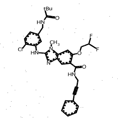 Cn1c(Nc2cc(CNC(=O)C(C)(C)C)ccc2Cl)nc2cc(C(=O)NCC#Cc3ccccc3)c(OCC(F)F)cc21